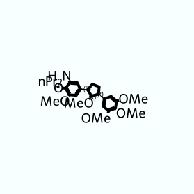 CCCOc1c(N)cc([C@H]2CC[C@H](c3cc(OC)c(OC)c(OC)c3)[C@@H]2OC)cc1OC